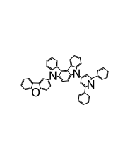 c1ccc(-c2cc(-n3c4ccccc4c4c5c6ccccc6n(-c6ccc7oc8ccccc8c7c6)c5ccc43)cc(-c3ccccc3)n2)cc1